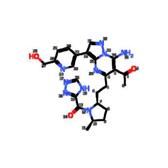 CC(=O)c1c(CC[C@H]2CC[C@@H](C)N2C(=O)c2nnc[nH]2)nc2c(-c3ccc(CO)nc3)cnn2c1N